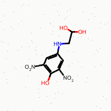 O=[N+]([O-])c1cc(NCC(O)O)cc([N+](=O)[O-])c1O